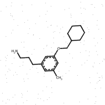 Cc1cc(CCCN)cc(OCC2CCCCC2)c1